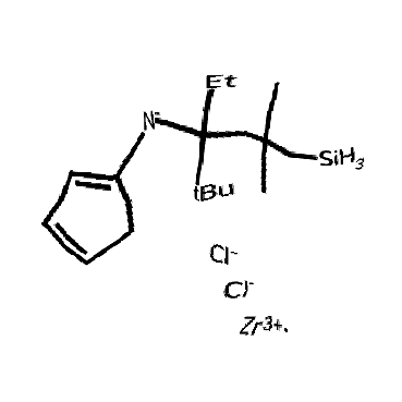 CCC([N-]C1=CC=CC1)(C(C)(C)C)C(C)(C)[SiH3].[Cl-].[Cl-].[Zr+3]